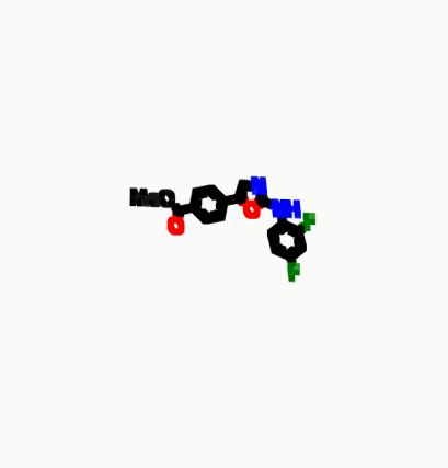 COC(=O)c1ccc(-c2cnc(Nc3ccc(F)cc3F)o2)cc1